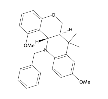 COc1ccc2c(c1)C(C)(C)[C@@H]1COc3cccc(OC)c3[C@H]1N2Cc1ccccc1